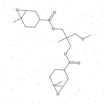 COCC(C)(COC(=O)C1CCC2(C)OC2C1)COC(=O)C1CCC2(C)OC2C1